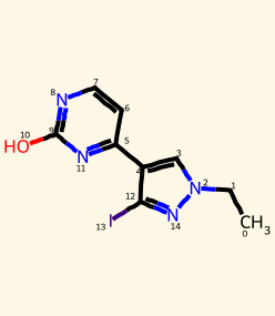 CCn1cc(-c2ccnc(O)n2)c(I)n1